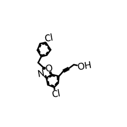 OCC#Cc1cc(Cl)cc2nc(Cc3ccc(Cl)cc3)oc12